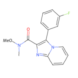 CON(C)C(=O)c1nc2ccccn2c1-c1cccc(F)c1